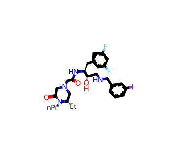 CCCN1C(=O)CN(CC(=O)N[C@@H](Cc2cc(F)cc(F)c2)[C@@H](O)CNCc2cccc(I)c2)C[C@@H]1CC